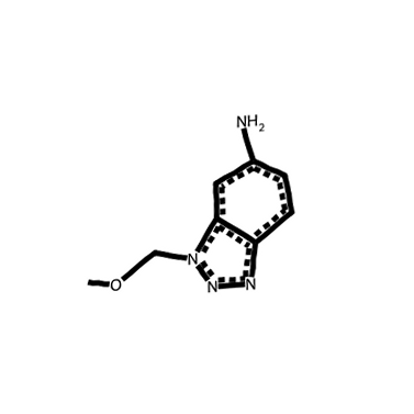 COCn1nnc2ccc(N)cc21